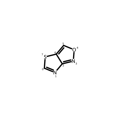 c1nc2nocc2s1